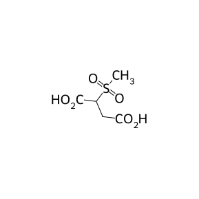 CS(=O)(=O)C(CC(=O)O)C(=O)O